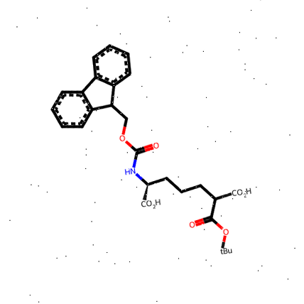 CC(C)(C)OC(=O)C(CCC[C@H](NC(=O)OCC1c2ccccc2-c2ccccc21)C(=O)O)C(=O)O